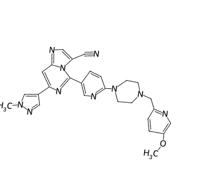 COc1ccc(CN2CCN(c3ccc(-c4nc(-c5cnn(C)c5)cc5ncc(C#N)n45)cn3)CC2)nc1